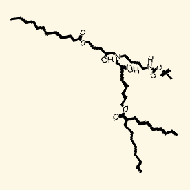 CCCCCCCCCCCC(=O)OCCCC(O)CN(CCCCNC(=O)OC(C)(C)C)CC(O)CCCCCOC(=O)C(CCCCCCCC)CCCCCCCC